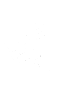 C[C@H](Oc1ccc(C#N)cn1)[C@H]1CN(C(=O)c2ccc(S(C)(=O)=O)nc2)C[C@@H]1c1ccc(Cl)c(Cl)c1